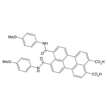 COc1ccc(NC(=O)c2ccc3c4ccc(C(=O)O)c5c(C(=O)O)ccc(c6ccc(C(=O)Nc7ccc(OC)cc7)c2c36)c54)cc1